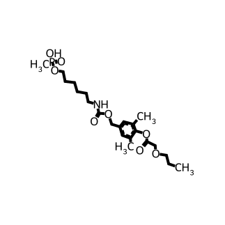 CCCOCC(=O)Oc1c(C)cc(COC(=O)NCCCCCCOP(C)(=O)O)cc1C